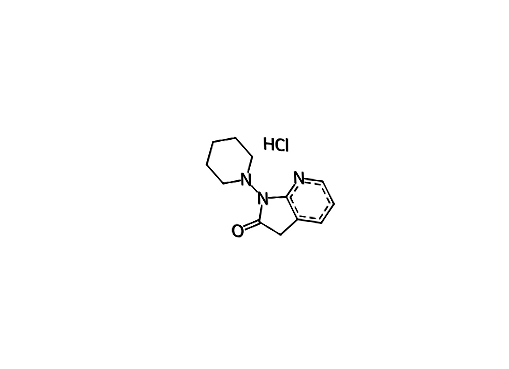 Cl.O=C1Cc2cccnc2N1N1CCCCC1